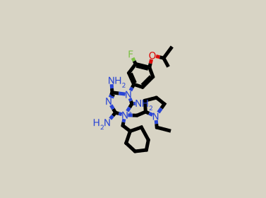 CCN1CCCC1C[N+]1(CC2CCCCC2)C(N)N=C(N)N(c2ccc(OC(C)C)c(F)c2)C1N